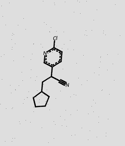 N#CC(CC1CCCC1)c1ccc(Cl)nc1